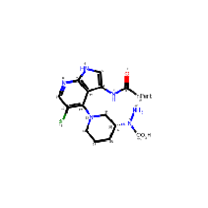 CCCCCC(=O)Nc1c[nH]c2ncc(Br)c(N3CCC[C@@H](N(N)C(=O)O)C3)c12